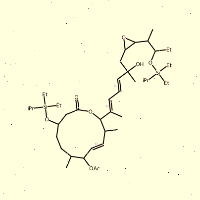 CCC(O[Si](CC)(CC)C(C)C)C(C)C1OC1CC(C)(O)/C=C/C=C(\C)C1OC(=O)CC(O[Si](CC)(CC)C(C)C)CCC(C)C(OC(C)=O)/C=C/C1C